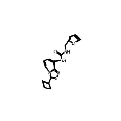 O=C(NCc1ccco1)Nc1cccn2c(C3CCC3)nnc12